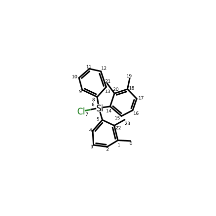 Cc1cccc([Si](Cl)(c2ccccc2)c2cccc(C)c2C)c1C